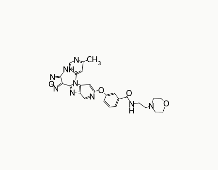 Cc1cc(-n2c(-c3nonc3N)nc3cnc(Oc4cccc(C(=O)NCCN5CCOCC5)c4)cc32)ccn1